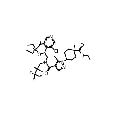 CCOC(=O)[C@]1(C)CC[C@@H](n2ncc(C(=O)N(CC(O[Si](CC)(CC)CC)c3c(C)cncc3Cl)CC(C)(C)C(F)(F)F)c2C)CC1